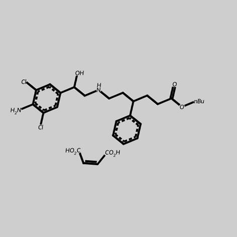 CCCCOC(=O)CCC(CCNCC(O)c1cc(Cl)c(N)c(Cl)c1)c1ccccc1.O=C(O)/C=C\C(=O)O